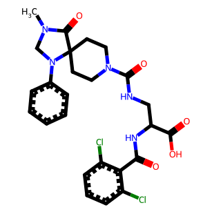 CN1CN(c2ccccc2)C2(CCN(C(=O)NCC(NC(=O)c3c(Cl)cccc3Cl)C(=O)O)CC2)C1=O